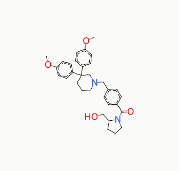 COc1ccc(C2(c3ccc(OC)cc3)CCCN(Cc3ccc(C(=O)N4CCCC4CO)cc3)C2)cc1